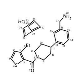 CCc1ccsc1C(=O)N1CCC(c2cccc(CN)c2)CC1.Cl.c1cc2ccc1-2